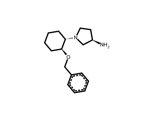 N[C@@H]1CCN([C@H]2CCCC[C@@H]2OCc2ccccc2)C1